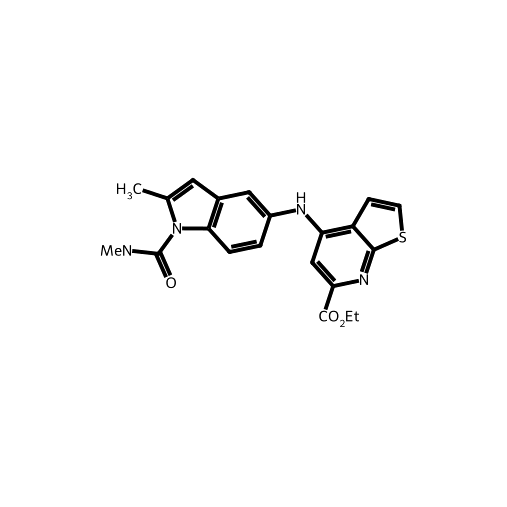 CCOC(=O)c1cc(Nc2ccc3c(c2)cc(C)n3C(=O)NC)c2ccsc2n1